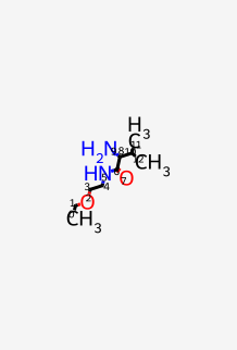 CCOCCNC(=O)C(N)C(C)C